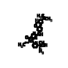 C=CCn1c(=O)c2cnc(Nc3ccc4c(c3)OC[C@@H]3C[C@@H](N(C)C)CN43)nc2n1-c1cccc(C(C)(C)O)n1